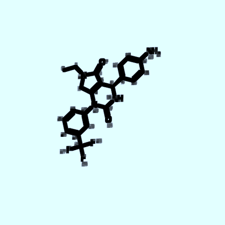 CCN1CC2=C(C1=O)[C@@H](c1ccc(N)cc1)NC(=O)N2c1cccc(C(F)(F)F)c1